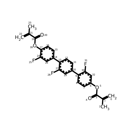 C=C(C)C(=O)Oc1ccc(-c2ccc(-c3ccc(OC(=O)C(=C)C)c(F)c3)c(F)c2)c(F)c1